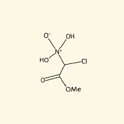 COC(=O)C(Cl)[N+]([O-])(O)O